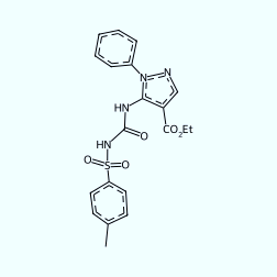 CCOC(=O)c1cnn(-c2ccccc2)c1NC(=O)NS(=O)(=O)c1ccc(C)cc1